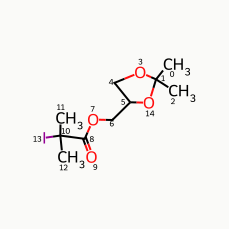 CC1(C)OCC(COC(=O)C(C)(C)I)O1